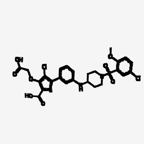 COc1ccc(Cl)cc1S(=O)(=O)N1CCC(Nc2cccc(-c3sc(C(=O)O)c(OCC(=O)O)c3Cl)c2)CC1